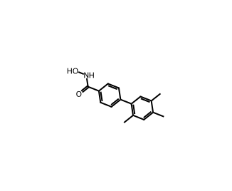 Cc1cc(C)c(-c2ccc(C(=O)NO)cc2)cc1C